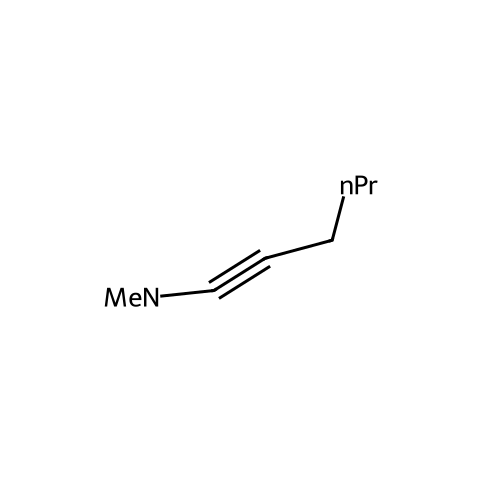 CCCCC#CNC